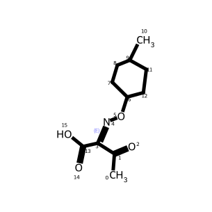 CC(=O)/C(=N\OC1CCC(C)CC1)C(=O)O